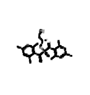 Cc1cc(C)c(C(=O)P(=O)(O[C@@H](C)CO)C(=O)c2c(C)cc(C)cc2C)c(C)c1